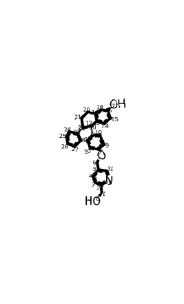 OCc1ccc(COc2ccc([C@@H]3c4ccc(O)cc4CC[C@@H]3c3ccccc3)cc2)cn1